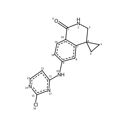 O=C1NCC2(CC2)c2cc(Nc3ccnc(Cl)n3)ccc21